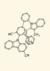 C=C/C=C\c1c(C)c2ccccc2n1-c1ccccc1-c1cc(C#N)c(-n2c3ccccc3c3cc(C#N)ccc32)c(-c2ccccc2)c1